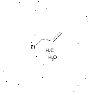 C=CCCC.O.O